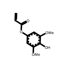 C=CC(=O)Oc1cc(OC)c(O)c(OC)c1